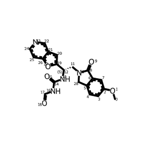 COc1ccc2c(c1)C(=O)N(C[C@H](NC(=O)NC=O)c1cc3cnccc3o1)C2